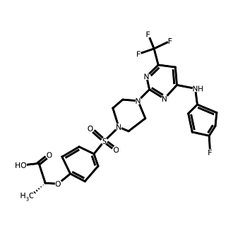 C[C@@H](Oc1ccc(S(=O)(=O)N2CCN(c3nc(Nc4ccc(F)cc4)cc(C(F)(F)F)n3)CC2)cc1)C(=O)O